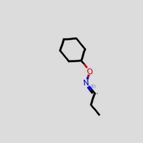 CC/[C]=N/OC1CCCCC1